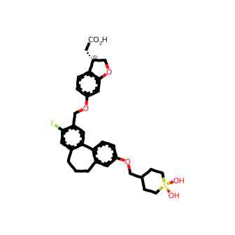 O=C(O)C[C@@H]1COc2cc(OCc3cc4c(cc3F)CCCc3cc(OCC5CCS(O)(O)CC5)ccc3-4)ccc21